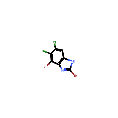 Clc1cc2[nH]c(Br)nc2c(Br)c1Cl